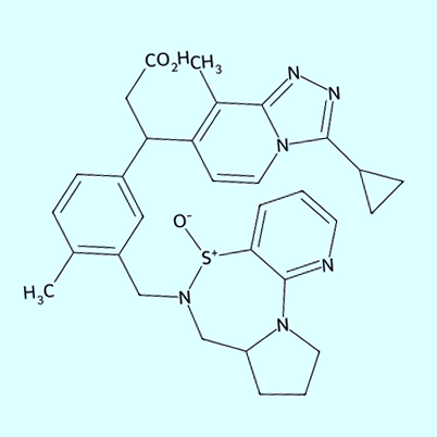 Cc1ccc(C(CC(=O)O)c2ccn3c(C4CC4)nnc3c2C)cc1CN1CC2CCCN2c2ncccc2[S+]1[O-]